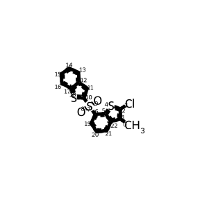 Cc1c(Cl)sc2c(S(=O)(=O)c3cc4ccccc4s3)cccc12